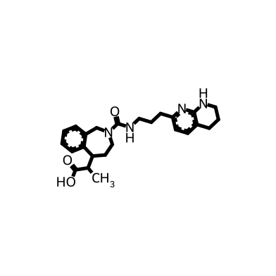 CC(C(=O)O)C1CCN(C(=O)NCCCc2ccc3c(n2)NCCC3)Cc2ccccc21